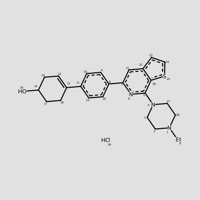 CCN1CCN(c2nc(-c3ccc(C4=CCC(O)CC4)cc3)cc3ccsc23)CC1.Cl